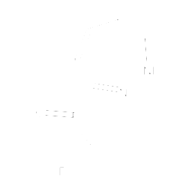 CCOC(=O)C1=NNC=CC=C1